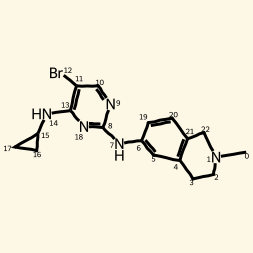 CN1CCc2cc(Nc3ncc(Br)c(NC4CC4)n3)ccc2C1